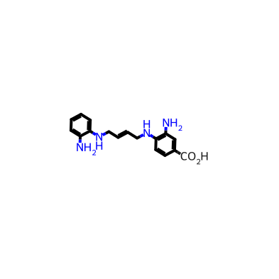 Nc1ccccc1NCC=CCNc1ccc(C(=O)O)cc1N